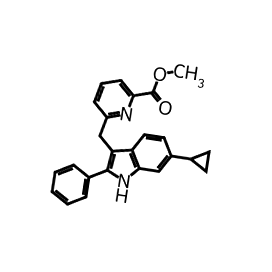 COC(=O)c1cccc(Cc2c(-c3ccccc3)[nH]c3cc(C4CC4)ccc23)n1